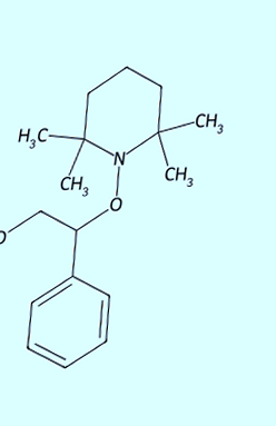 CC1(C)CCCC(C)(C)N1OC(C[O])c1ccccc1